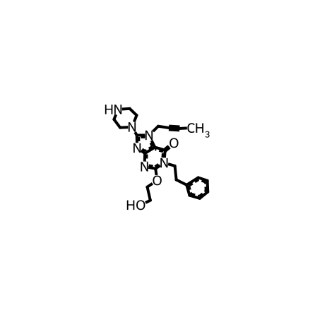 CC#CCn1c(N2CCNCC2)nc2nc(OCCO)n(CCc3ccccc3)c(=O)c21